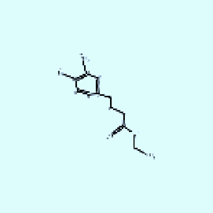 CCOC(=O)CCCc1ccc(Br)c(N)c1